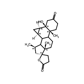 C[C@@H]1C[C@@]2(CCC(=O)O2)[C@@]2(C)CCC3C(C12)[C@H]1C[C@H]1[C@]1(O)CC(=O)CC[C@]31C